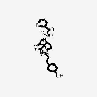 NC(=O)C12C(=O)CN(S(=O)(=O)C(=O)c3cccnc3)C1CCN2C(=O)[CH]Cc1ccc(O)cc1